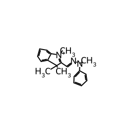 CN(N=CC1=[N+](C)c2ccccc2C1(C)C)c1ccccc1